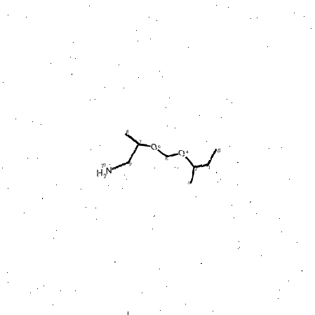 CCC(C)OCOC(C)CN